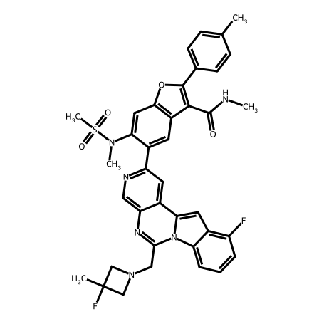 CNC(=O)c1c(-c2ccc(C)cc2)oc2cc(N(C)S(C)(=O)=O)c(-c3cc4c(cn3)nc(CN3CC(C)(F)C3)n3c5cccc(F)c5cc43)cc12